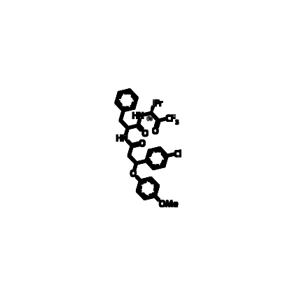 COc1ccc(OC(CC(=O)NC(Cc2ccccc2)C(=O)N[C@H](C(=O)C(F)(F)F)C(C)C)c2ccc(Cl)cc2)cc1